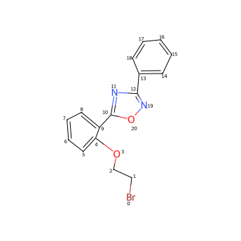 BrCCOc1ccccc1-c1nc(-c2ccccc2)no1